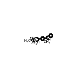 Cc1cc(C2=CCN(S(=O)(=O)C(C)(C)C(=O)O)CC2)ccc1-c1cnc2ccccc2c1